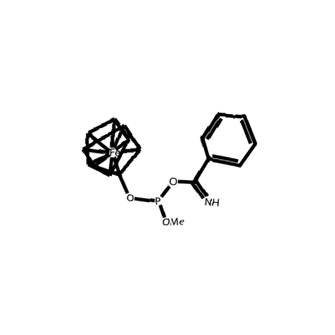 COP(OC(=N)c1ccccc1)O[C]12[CH]3[CH]4[CH]5[CH]1[Fe]45321678[CH]2[CH]1[CH]6[CH]7[CH]28